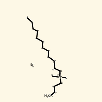 CCCCCCCCCCCC[N+](C)(C)CCC[SiH3].[Br-]